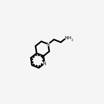 NCCN1CCc2cccnc2C1